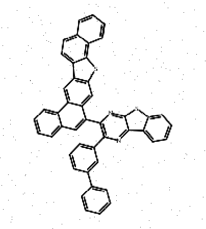 c1ccc(-c2cccc(-c3nc4c(nc3-c3cc5ccccc5c5cc6c(cc35)sc3c5ccccc5ccc63)sc3ccccc34)c2)cc1